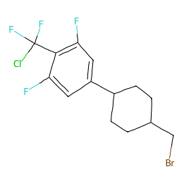 Fc1cc(C2CCC(CBr)CC2)cc(F)c1C(F)(F)Cl